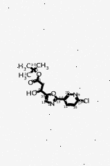 CC(C)(C)OC(=O)CC(O)c1cnc(-c2ccc(Cl)nc2)o1